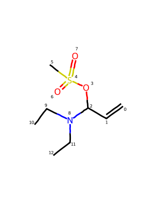 C=CC(OS(C)(=O)=O)N(CC)CC